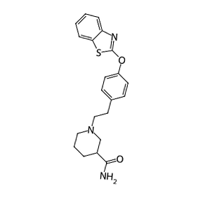 NC(=O)C1CCCN(CCc2ccc(Oc3nc4ccccc4s3)cc2)C1